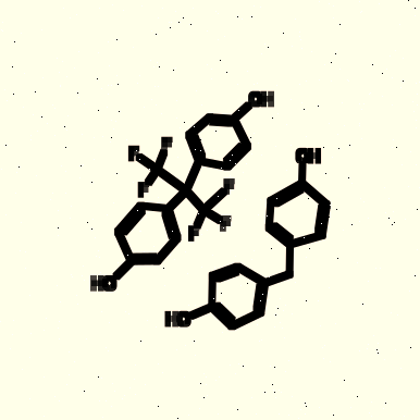 Oc1ccc(C(c2ccc(O)cc2)(C(F)(F)F)C(F)(F)F)cc1.Oc1ccc(Cc2ccc(O)cc2)cc1